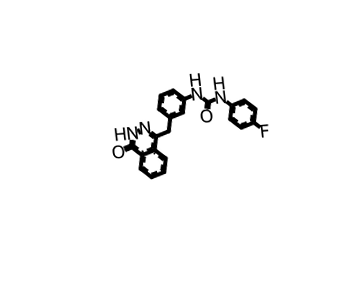 O=C(Nc1ccc(F)cc1)Nc1cccc(Cc2n[nH]c(=O)c3ccccc23)c1